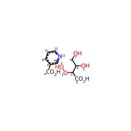 O=C(O)C(OO)C(O)CO.O=C(O)c1cccnc1